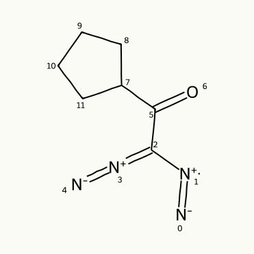 [N-]=[N+]C(=[N+]=[N-])C(=O)C1CCCC1